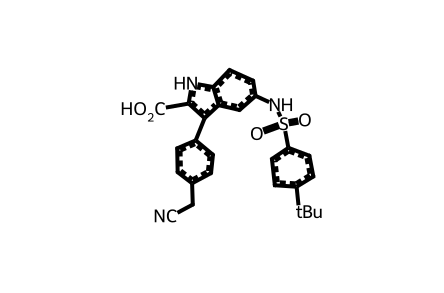 CC(C)(C)c1ccc(S(=O)(=O)Nc2ccc3[nH]c(C(=O)O)c(-c4ccc(CC#N)cc4)c3c2)cc1